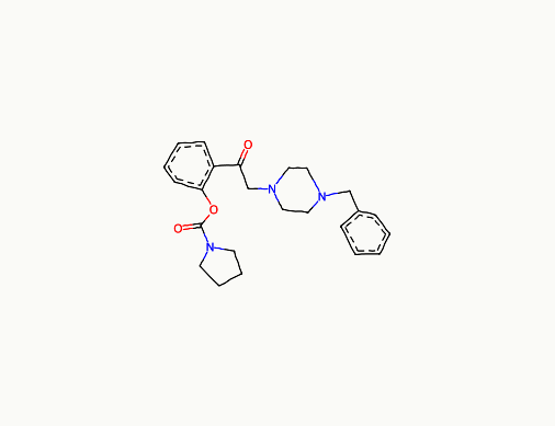 O=C(CN1CCN(Cc2ccccc2)CC1)c1ccccc1OC(=O)N1CCCC1